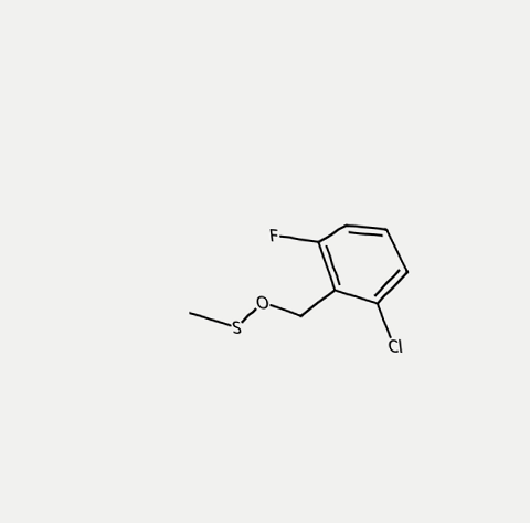 CSOCc1c(F)cccc1Cl